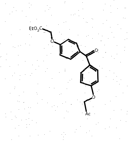 CCOC(=O)COc1ccc(C(=O)c2ccc(OCC(C)=O)cc2)cc1